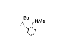 CCC(C)C1CC1c1ccccc1CNC